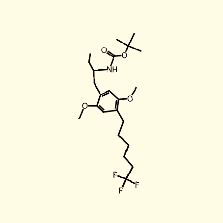 CCC(Cc1cc(OC)c(CCCCCC(F)(F)F)cc1OC)NC(=O)OC(C)(C)C